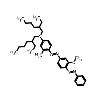 CCCCC(CC)CN(CC(CC)CCCC)c1ccc(/N=N/c2ccc(/N=N/c3ccccc3)c(OC)c2)c(C)c1